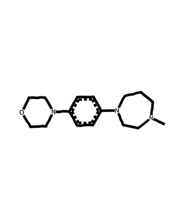 CN1CCCN(c2ccc(N3CCOCC3)cc2)CC1